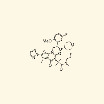 C=CCN(C)C(=O)C(C)(C)n1c(=O)c2c(C)c(-n3nccn3)sc2n(C[C@H](OC2CCOCC2)c2cc(F)ccc2OC)c1=O